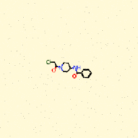 O=C(NC1CCN(C(=O)CCl)CC1)c1ccccc1